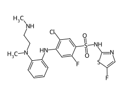 CNCCN(C)c1ccccc1Nc1cc(F)c(S(=O)(=O)Nc2ncc(F)s2)cc1Cl